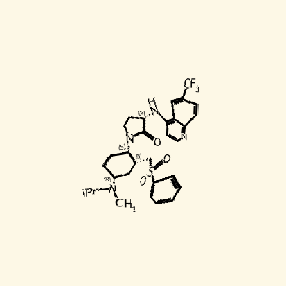 CC(C)N(C)[C@@H]1CC[C@H](N2CC[C@H](Nc3ccnc4ccc(C(F)(F)F)cc34)C2=O)[C@H](CS(=O)(=O)c2ccccc2)C1